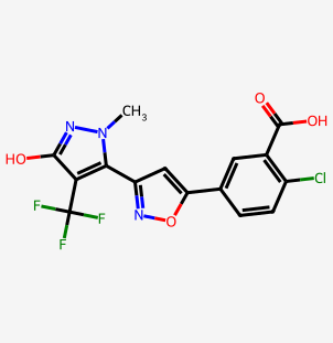 Cn1nc(O)c(C(F)(F)F)c1-c1cc(-c2ccc(Cl)c(C(=O)O)c2)on1